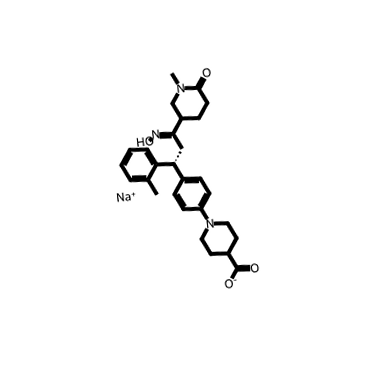 Cc1ccccc1[C@H](C/C(=N\O)C1CCC(=O)N(C)C1)c1ccc(N2CCC(C(=O)[O-])CC2)cc1.[Na+]